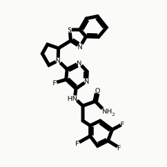 NC(=O)C(Cc1cc(F)c(F)cc1F)Nc1ncnc(N2CCCC2c2nc3ccccc3s2)c1F